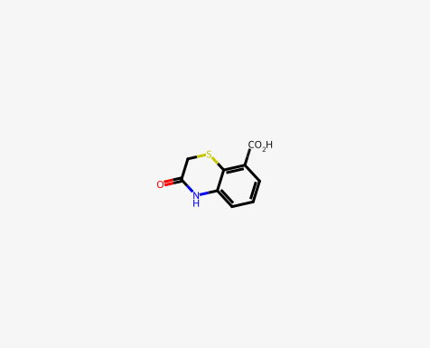 O=C1CSc2c(cccc2C(=O)O)N1